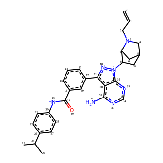 C=CCN1CC2CC1C(n1nc(-c3cccc(C(=O)Nc4ccc(C(C)C)cc4)c3)c3c(N)ncnc31)C2